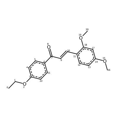 CCOc1ccc(C(=O)/C=C/c2ccc(OC)cc2OC)cc1